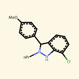 CCCN1Nc2c(Cl)cccc2C1c1ccc(OC)cc1